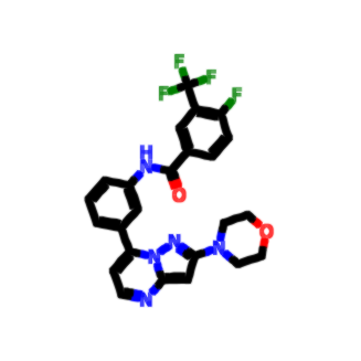 O=C(Nc1cccc(-c2ccnc3cc(N4CCOCC4)nn23)c1)c1ccc(F)c(C(F)(F)F)c1